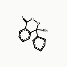 CC(C)(C)C1(c2ccccc2)OOC(=O)c2ccccc21